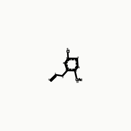 C=CCc1cc(Cl)ccc1OC(C)=O